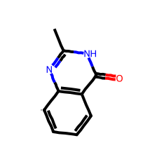 Cc1nc2[c]cccc2c(=O)[nH]1